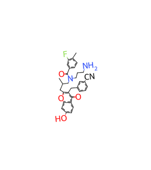 Cc1ccc(C(=O)N(CCCN)CC(C)Cc2oc3cc(O)ccc3c(=O)c2Cc2cccc(C#N)c2)cc1F